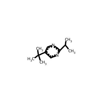 CC(C)c1ncc(C(C)(C)C)cn1